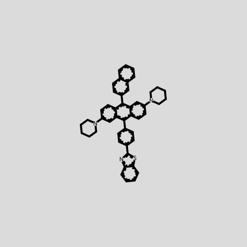 c1ccc2cc(-c3c4ccc(N5CCCCC5)cc4c(-c4ccc(-c5nc6ccccc6s5)cc4)c4ccc(N5CCCCC5)cc34)ccc2c1